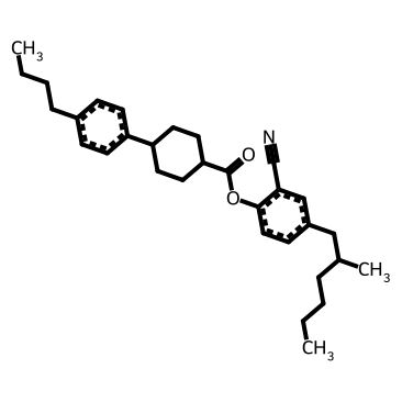 CCCCc1ccc(C2CCC(C(=O)Oc3ccc(CC(C)CCCC)cc3C#N)CC2)cc1